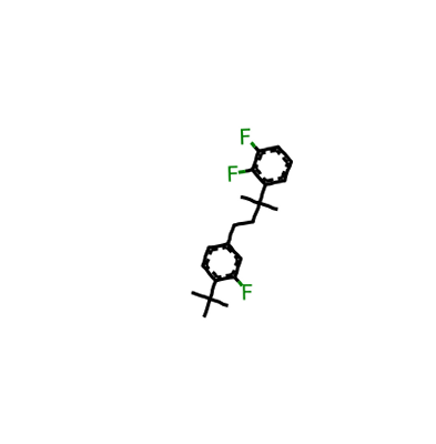 CC(C)(C)c1ccc(CCC(C)(C)c2cccc(F)c2F)cc1F